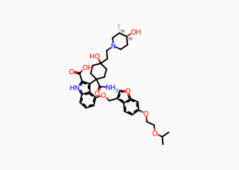 CC(C)OCCOc1ccc2c(COc3cccc4[nH]c(C(=O)O)c(C5(C(N)=O)CCC(O)(CCN6CC[C@H](O)[C@@H](C)C6)CC5)c34)coc2c1